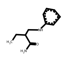 CCC(CNc1ccccc1)C(N)=O